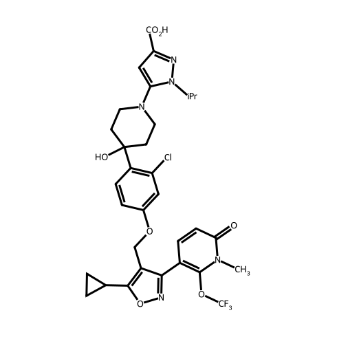 CC(C)n1nc(C(=O)O)cc1N1CCC(O)(c2ccc(OCc3c(-c4ccc(=O)n(C)c4OC(F)(F)F)noc3C3CC3)cc2Cl)CC1